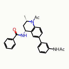 CC(=O)Nc1cccc(-c2ccc3c(c2)[C@H](NC(=O)c2ccccc2)C[C@H](C)N3C(C)=O)c1